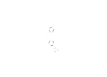 CC1(C)OB(c2ccc(OCOc3ccc(F)cc3)cc2)OC1(C)C